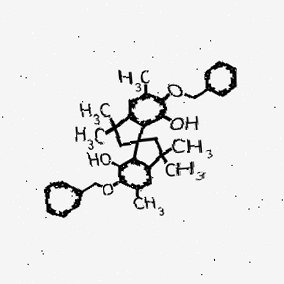 Cc1cc2c(c(O)c1OCc1ccccc1)C1(CC2(C)C)CC(C)(C)c2cc(C)c(OCc3ccccc3)c(O)c21